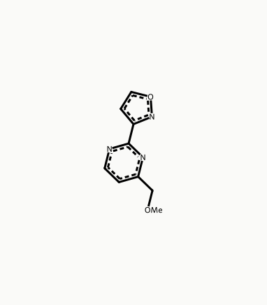 COCc1ccnc(-c2ccon2)n1